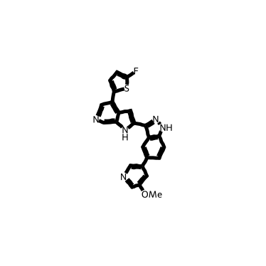 COc1cncc(-c2ccc3[nH]nc(-c4cc5c(-c6ccc(F)s6)cncc5[nH]4)c3c2)c1